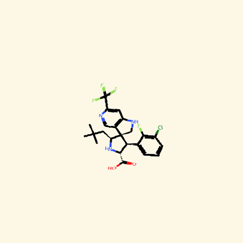 CC(C)(C)C[C@@H]1N[C@@H](C(=O)O)[C@H](c2cccc(Cl)c2F)[C@]12CNc1cc(C(F)(F)F)ncc12